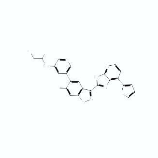 CC(C)(C)CC(O)Nc1cncc(-c2cc3c(-c4nc5c(-c6cccs6)ccnc5[nH]4)n[nH]c3cc2F)c1